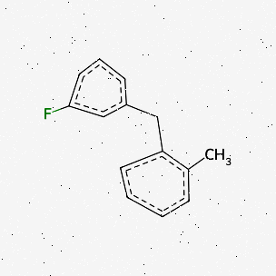 Cc1ccccc1Cc1cccc(F)c1